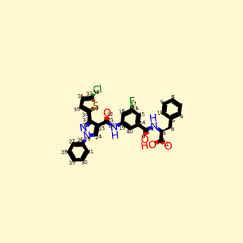 O=C(N[C@@H](Cc1ccccc1)C(=O)O)c1cc(F)cc(NC(=O)c2cn(-c3ccccc3)nc2-c2ccc(Cl)s2)c1